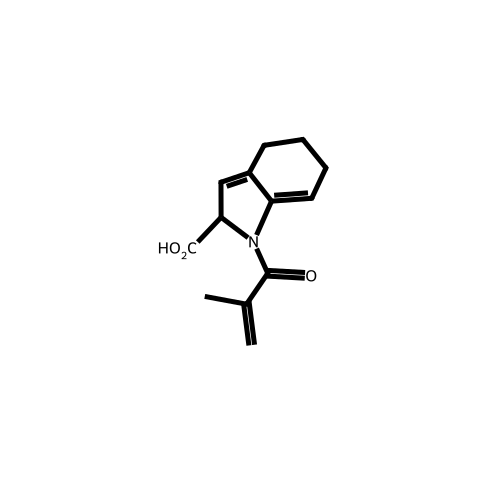 C=C(C)C(=O)N1C2=CCCCC2=CC1C(=O)O